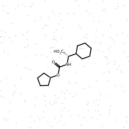 O=C(N[C@H](C(=O)O)C1CCCCC1)OC1CCCC1